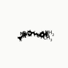 Cc1cc(OCCCC2CCN(c3nc(C4CC4)no3)CC2)ccc1C(N)=O